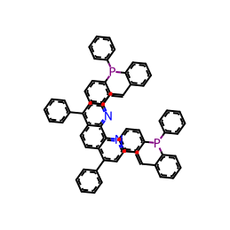 C(=Cc1ccccc1P(c1ccccc1)c1ccccc1)c1cc(-c2ccccc2)c2ccc3c(-c4ccccc4)cc(C=Cc4ccccc4P(c4ccccc4)c4ccccc4)nc3c2n1